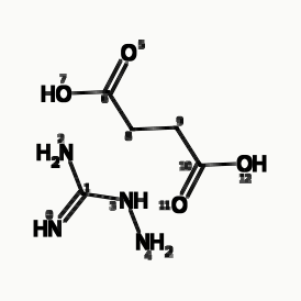 N=C(N)NN.O=C(O)CCC(=O)O